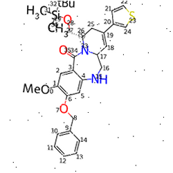 COc1cc2c(cc1OCc1ccccc1)NCC1C=C(c3ccsc3)C[C@@H](CO[Si](C)(C)C(C)(C)C)N1C2=O